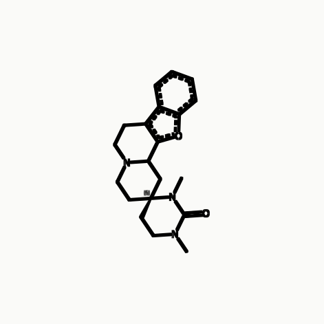 CN1CC[C@]2(CCN3CCc4c(oc5ccccc45)C3C2)N(C)C1=O